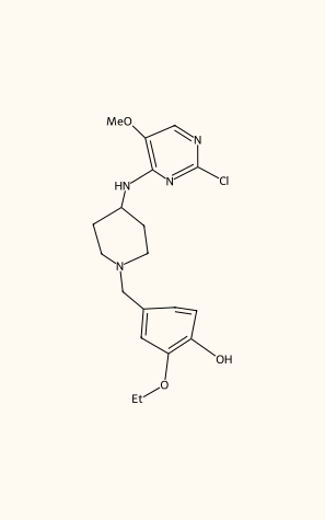 CCOc1cc(CN2CCC(Nc3nc(Cl)ncc3OC)CC2)ccc1O